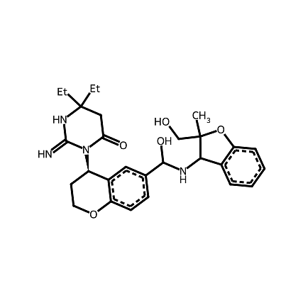 CCC1(CC)CC(=O)N([C@@H]2CCOc3ccc(C(O)NC4c5ccccc5OC4(C)CO)cc32)C(=N)N1